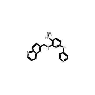 NNc1ccc(Nc2ccncc2)nc1NCc1ccc2ncccc2c1